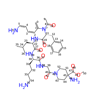 C=C(/C=C\C=C/N)N(C(C)=O)[C@H](Cc1ccccc1)C(=O)N[C@H](CC(C)C)C(=O)N[C@H](CCCCN)C(=O)NCC(=O)N1CCC(N)(C(=O)OC)CC1